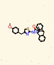 COc1ccc(Cc2csc(NC(=O)C3(C)CC4c5ccccc5C3c3ccccc34)n2)cc1